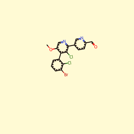 COc1cnc(-c2ccc(C=O)nc2)c(Cl)c1-c1cccc(Br)c1Cl